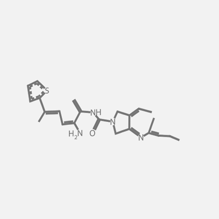 C=C(NC(=O)N1CC(=C/C)/C(=N\C(C)=C\CC)C1)/C(N)=C\C=C(/C)c1cccs1